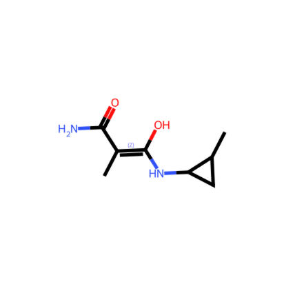 C/C(C(N)=O)=C(/O)NC1CC1C